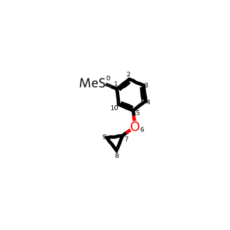 CSc1cc[c]c(OC2CC2)c1